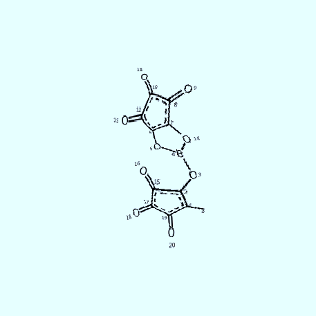 Cc1c(OB2Oc3c(c(=O)c(=O)c3=O)O2)c(=O)c(=O)c1=O